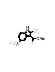 COC(=O)c1c(C(F)(F)F)[nH]c2ccc(C(=O)O)cc12